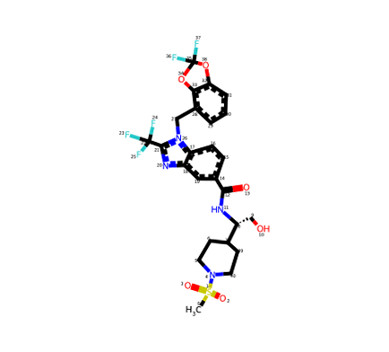 CS(=O)(=O)N1CCC([C@@H](CO)NC(=O)c2ccc3c(c2)nc(C(F)(F)F)n3Cc2cccc3c2OC(F)(F)O3)CC1